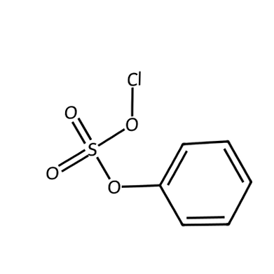 O=S(=O)(OCl)Oc1ccccc1